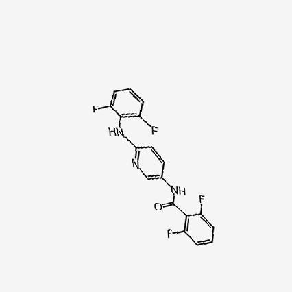 O=C(Nc1ccc(Nc2c(F)cccc2F)nc1)c1c(F)cccc1F